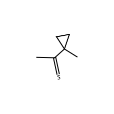 CC(=S)C1(C)CC1